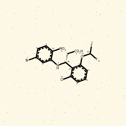 O=C(O)C[C@@H](Nc1cc(Br)ccc1[N+](=O)[O-])c1c(Cl)cccc1OC(F)F